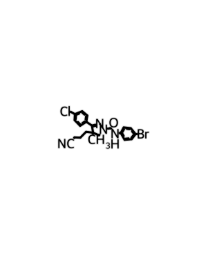 CC1(CCCC#N)CN(C(=O)Nc2ccc(Br)cc2)N=C1c1ccc(Cl)cc1